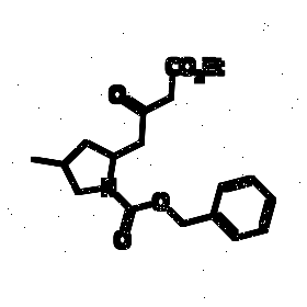 CCOC(=O)CC(=O)CC1CC(C)CN1C(=O)OCc1ccccc1